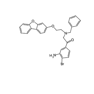 Nc1cc(C(=O)CN(CCOc2ccc3c(c2)oc2ccccc23)Cc2ccccc2)ccc1Br